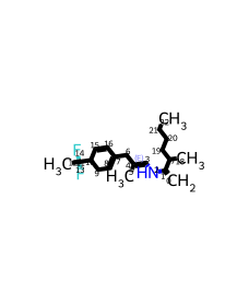 C=C(N/C=C(\C)CC1=CCC(C(C)(F)F)C=C1)C(C)CCCC